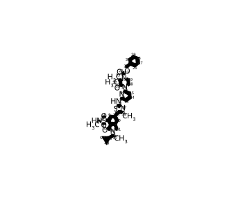 CNS(=O)(=O)c1cc(-c2sc(Nc3cccc(N4CCN(C(=O)OCc5ccccc5)C(C)(C)C4=O)n3)nc2C)cc2c1C(=O)N([C@@H](C)C1CC1)C2